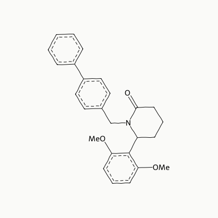 COc1cccc(OC)c1C1CCCC(=O)N1Cc1ccc(-c2ccccc2)cc1